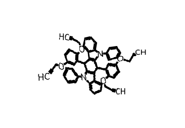 C#CCOc1ccc(OCC#C)c(C2c3c(n(-c4ccccc4)c4ccccc34)C(c3cc(OCC#C)ccc3OCC#C)c3c2n(-c2ccccc2)c2ccccc32)c1